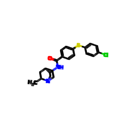 CC1CC2CCN1CC2NC(=O)c1ccc(Sc2ccc(Cl)cc2)cc1